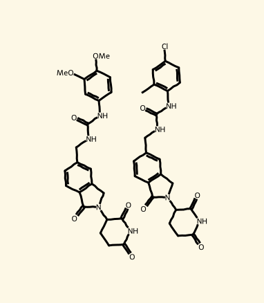 COc1ccc(NC(=O)NCc2ccc3c(c2)CN(C2CCC(=O)NC2=O)C3=O)cc1OC.Cc1cc(Cl)ccc1NC(=O)NCc1ccc2c(c1)CN(C1CCC(=O)NC1=O)C2=O